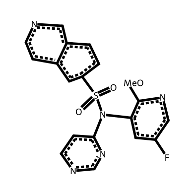 COc1ncc(F)cc1N(c1ccncn1)S(=O)(=O)c1ccc2cnccc2c1